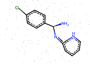 N[C@@H](/N=c1/cccc[nH]1)c1ccc(Cl)cc1